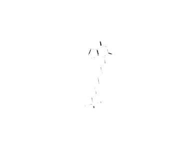 O=c1[nH]c(=O)n(CCCCCCCCP(=O)(O)O)c2[nH]ccc12